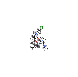 CC[C@H](NC(=O)Oc1c(CN2CCN(CCN3CCCC3)CC2)n(-c2ccc(Cl)cc2)c(=O)c2ccccc12)c1ccccc1